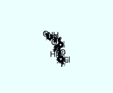 CN(C(=O)O[C@H]1CCC(=O)N1)C1CCc2c1cn(C)c2C(=O)Nc1ccc(F)c(Cl)c1